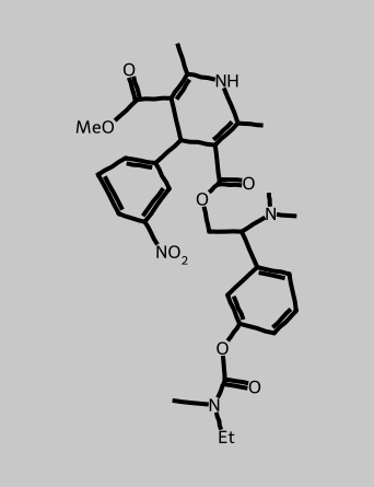 CCN(C)C(=O)Oc1cccc(C(COC(=O)C2=C(C)NC(C)=C(C(=O)OC)C2c2cccc([N+](=O)[O-])c2)N(C)C)c1